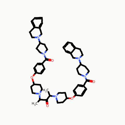 CC(C(=O)C(C)N1CCC(Oc2ccc(C(=O)N3CCC(N4CCc5ccccc5C4)CC3)cc2)CC1)N1CCC(Oc2ccc(C(=O)N3CCC(N4CCc5ccccc5C4)CC3)cc2)CC1